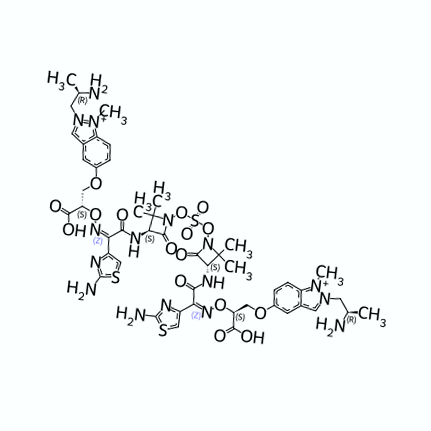 C[C@@H](N)Cn1cc2cc(OC[C@H](O/N=C(\C(=O)N[C@@H]3C(=O)N(OS(=O)(=O)ON4C(=O)[C@@H](NC(=O)/C(=N\O[C@@H](COc5ccc6c(c5)cn(C[C@@H](C)N)[n+]6C)C(=O)O)c5csc(N)n5)C4(C)C)C3(C)C)c3csc(N)n3)C(=O)O)ccc2[n+]1C